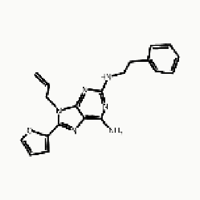 C=CCn1c(-c2ccco2)nc2c(N)nc(NCCc3ccccc3)nc21